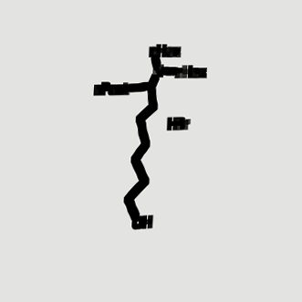 Br.CCCCCCN(CCCCCC)C(CCCCC)CCCCCCO